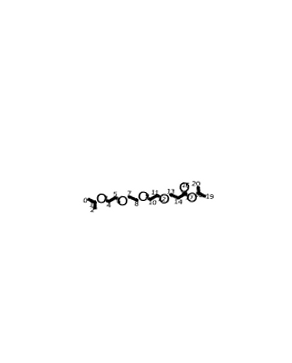 CC(C)OCCOCCOCCOCCC(=O)OC(C)C